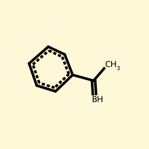 B=C(C)c1ccccc1